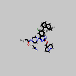 C=CC(=O)N1CCN(c2nc(OCC34CCCN3CCC4)nc3cc(-c4cccc5c4[C@@H]4C[C@@H]4C5)c(F)cc23)C[C@@H]1CC#N